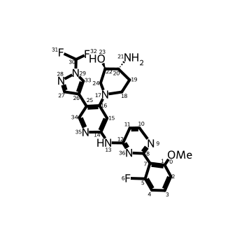 COc1cccc(F)c1-c1nccc(Nc2cc(N3CC[C@@H](N)[C@H](O)C3)c(-c3cnn(C(F)F)c3)cn2)n1